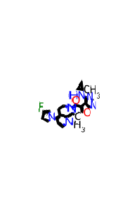 Cc1oc2ncnc(NC3(C)CC3)c2c1C(=O)N1CCc2c(N3CC[C@H](F)C3)ccnc2C1